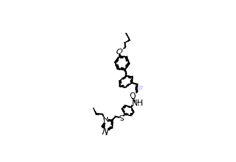 CCCCOc1ccc(-c2cccc(/C=C\ONc3ccc(SCc4cncn4CCC)cc3)c2)cc1